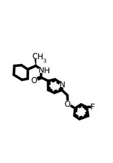 C[C@@H](NC(=O)c1ccc(COc2cccc(F)c2)nc1)C1CCCCC1